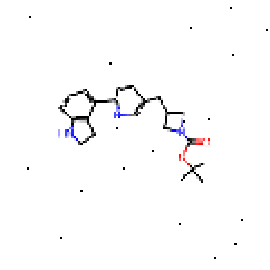 CC(C)(C)OC(=O)N1CC(Cc2ccc(-c3cccc4c3CCN4)nc2)C1